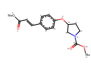 COC(=O)C=Cc1ccc(OC2CCN(C(=O)OC(C)(C)C)C2)cc1